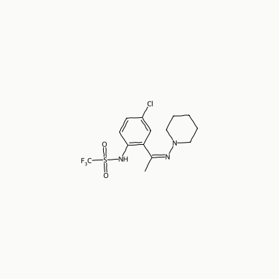 CC(=NN1CCCCC1)c1cc(Cl)ccc1NS(=O)(=O)C(F)(F)F